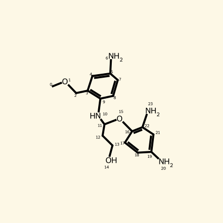 COCc1cc(N)ccc1NC(CCO)Oc1ccc(N)cc1N